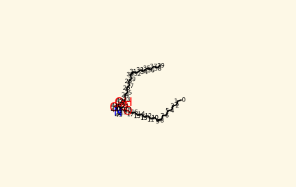 CCCCCCCC/C=C\CCCCCCCCOC[C@@](OCCCCCCCC/C=C\CCCCCCCC)(C(=O)O)N(C)C